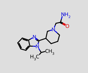 CC(C)n1c(C2CCCN(CC(N)=O)C2)nc2ccccc21